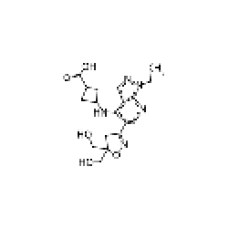 CCn1ncc2c(NC3CC(C(=O)O)C3)c(C3=NOC(CO)(CO)C3)cnc21